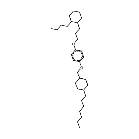 CCCCCCCC1CCC(COc2ccc(OCCCC3CCCCC3CCCC)cc2)CC1